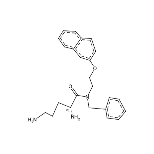 NCCC[C@@H](N)C(=O)N(CCOc1ccc2ccccc2c1)Cc1ccccc1